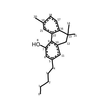 CCCCCc1cc(O)c2c(c1)CC(C)(C)c1ccc(C)cc1-2